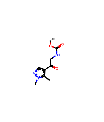 Cc1c(C(=O)CNC(=O)OC(C)(C)C)cnn1C